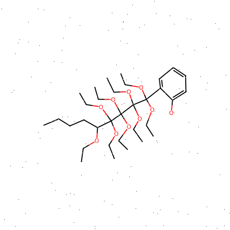 CCCCC(OCC)C(OCC)(OCC)C(OCC)(OCC)C(OCC)(OCC)C(OCC)(OCC)c1ccccc1[O]